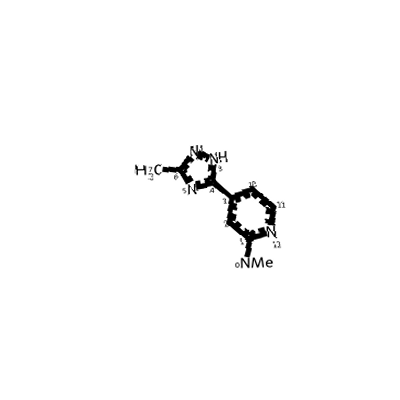 CNc1cc(-c2nc(C)n[nH]2)ccn1